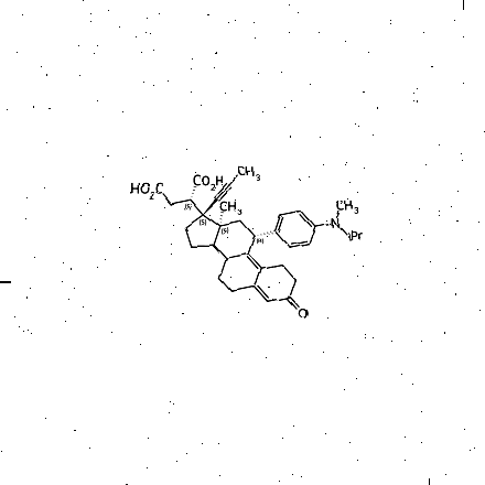 CC#C[C@]1([C@H](CC(=O)O)C(=O)O)CCC2C3CCC4=CC(=O)CCC4=C3[C@@H](c3ccc(N(C)C(C)C)cc3)C[C@@]21C